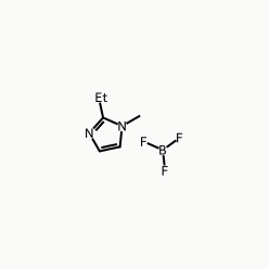 CCc1nccn1C.FB(F)F